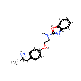 CN(CCOc1ccc(C[C@H](N)C(=O)O)cc1)c1nc2ccccc2o1